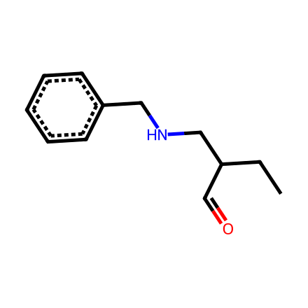 CCC(C=O)CNCc1ccccc1